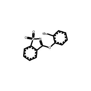 CC(C)(C)c1ccccc1OC1=NS(=O)(=O)c2ccccc21